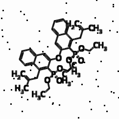 C=C(C)Cc1c(P(=O)(OCC)OCC)c(Oc2cc3ccccc3c(CC(=C)C)c2P(=O)(OCC)OCC)cc2ccccc12